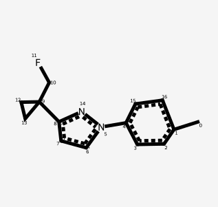 Cc1ccc(-n2[c]cc(C3(CF)CC3)n2)cc1